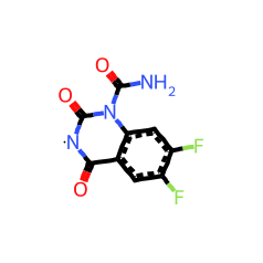 NC(=O)N1C(=O)[N]C(=O)c2cc(F)c(F)cc21